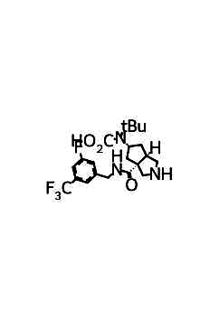 CC(C)(C)N(C(=O)O)[C@@H]1C[C@H]2CNC[C@@]2(C(=O)NCc2cc(F)cc(C(F)(F)F)c2)C1